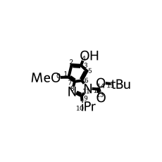 COc1cc(O)cc2c1nc(C(C)C)n2C(=O)OC(C)(C)C